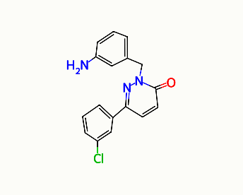 Nc1cccc(Cn2nc(-c3cccc(Cl)c3)ccc2=O)c1